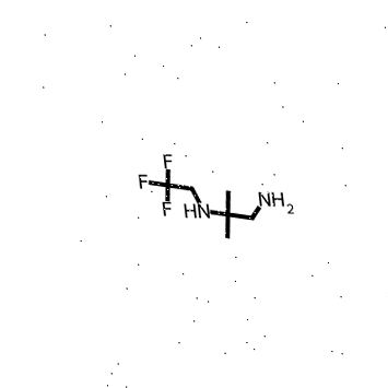 CC(C)(CN)NCC(F)(F)F